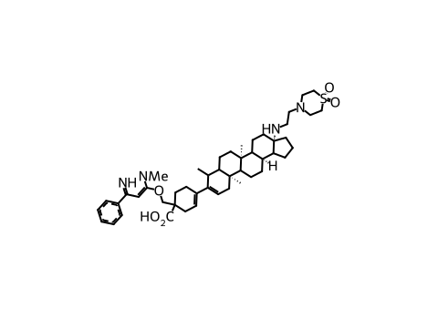 CN/C(=C\C(=N)c1ccccc1)OCC1(C(=O)O)CC=C(C2=CC[C@@]3(C)C(CC[C@@]4(C)C5CC[C@@]6(NCCN7CCS(=O)(=O)CC7)CCCC6[C@H]5CCC34)C2C)CC1